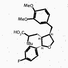 COc1ccc(C[C@H]2CO[C@H](c3ccc(F)cc3)[C@@H]2CC(C(=O)O)C(C)(C)C)cc1OC